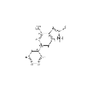 Cc1cc2c([nH]1)CN(c1ccccc1)C=C2Cl